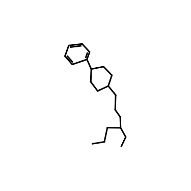 CCCC(CC)CCCC1CCC(c2ccccc2)CC1